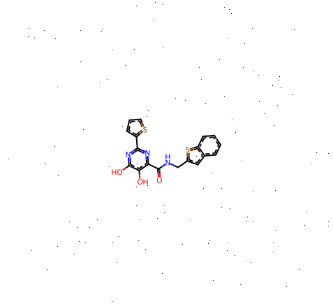 O=C(NCc1cc2ccccc2s1)c1nc(-c2cccs2)nc(O)c1O